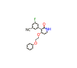 N#Cc1cc(F)cc(-c2c(OCCOc3ccccc3)cc[nH]c2=O)c1